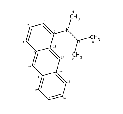 CC(C)N(C)c1cccc2cc3ccccc3cc12